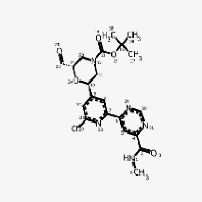 CNC(=O)c1cc(-c2cc([C@@H]3CN(C(=O)OC(C)(C)C)C[C@@H](C=O)O3)cc(Cl)n2)ncn1